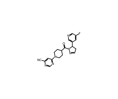 N#Cc1cc(N2CCC(C(=O)N3N=CCC3c3cncc(F)c3)CC2)ncn1